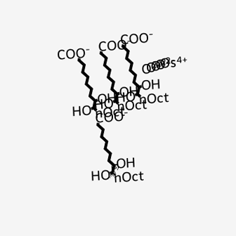 CCCCCCCCC(O)C(O)CCCCCCCC(=O)[O-].CCCCCCCCC(O)C(O)CCCCCCCC(=O)[O-].CCCCCCCCC(O)C(O)CCCCCCCC(=O)[O-].CCCCCCCC[C@@H](O)[C@@H](O)CCCCCCCC(=O)[O-].[O-2].[O-2].[O-2].[O-2].[Os+4]